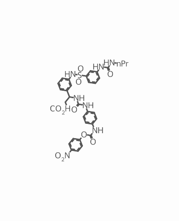 CCCNC(=O)Nc1cccc(S(=O)(=O)Nc2cccc(C(CC(=O)O)NC(=O)Nc3ccc(NC(=O)Oc4ccc([N+](=O)[O-])cc4)cc3)c2)c1